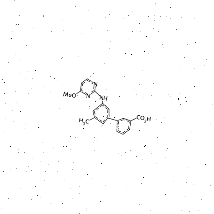 COc1ccnc(Nc2cc(C)cc(-c3cccc(C(=O)O)c3)c2)n1